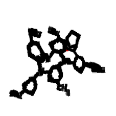 Cc1cc(N(c2ccc(C(C)(C)C)cc2)c2ccc(C(C)(C)C)cc2)cc(N(c2ccc(C(C)(C)C)cc2Br)c2ccc(C(C)(C)C)cc2C2CC3CCC2C3)c1